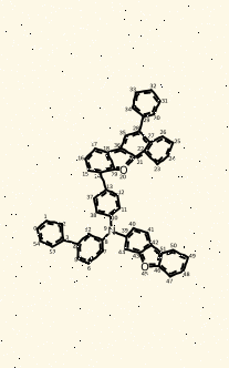 c1ccc(-c2cccc(N(c3ccc(-c4cccc5c4oc4c6ccccc6c(-c6ccccc6)cc54)cc3)c3ccc4c(c3)oc3ccccc34)c2)cc1